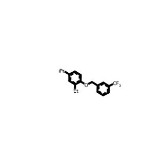 CCc1cc(C(C)C)ccc1OCc1cccc(C(F)(F)F)c1